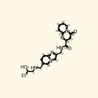 CCC(O)CNCc1ccc2nc(CNC(=O)c3cc(=O)n4ccccc4n3)cn2c1